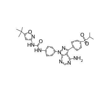 CC(C)S(=O)(=O)c1ccc(-c2nn(-c3ccc(NC(=O)Nc4cc(C(C)(C)C)on4)cc3)c3ncnc(N)c23)cc1